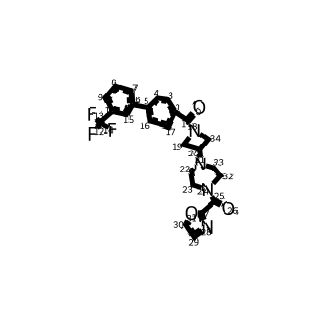 O=C(c1ccc(-c2cccc(C(F)(F)F)c2)cc1)N1CC(N2CCN(C(=O)c3ncco3)CC2)C1